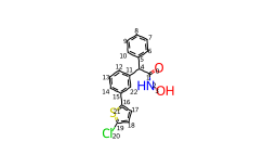 O=C(NO)C(c1ccccc1)c1cccc(-c2ccc(Cl)s2)c1